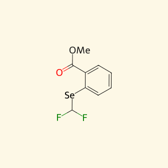 COC(=O)c1ccccc1[Se]C(F)F